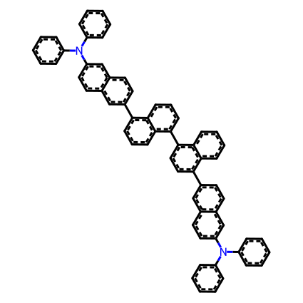 c1ccc(N(c2ccccc2)c2ccc3cc(-c4cccc5c(-c6ccc(-c7ccc8cc(N(c9ccccc9)c9ccccc9)ccc8c7)c7ccccc67)cccc45)ccc3c2)cc1